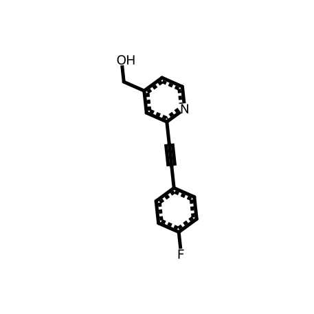 OCc1ccnc(C#Cc2ccc(F)cc2)c1